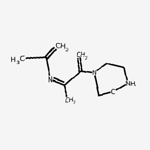 C=C(C)/N=C(/C)C(=C)N1CCNCC1